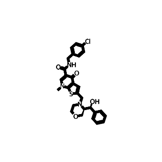 Cn1cc(C(=O)NCc2ccc(Cl)cc2)c(=O)c2cc(CN3CCOC[C@@H]3[C@@H](O)c3ccccc3)sc21